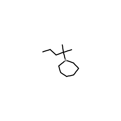 CCCC(C)(C)B1CCCCCC1